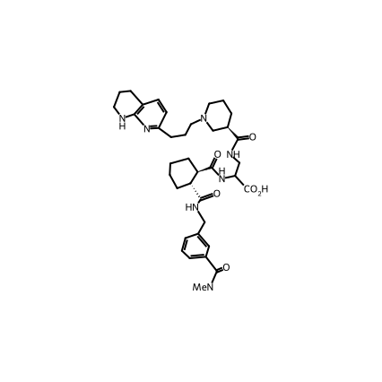 CNC(=O)c1cccc(CNC(=O)[C@@H]2CCCC[C@H]2C(=O)NC(CNC(=O)[C@@H]2CCCN(CCCc3ccc4c(n3)NCCC4)C2)C(=O)O)c1